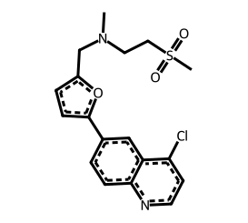 CN(CCS(C)(=O)=O)Cc1ccc(-c2ccc3nccc(Cl)c3c2)o1